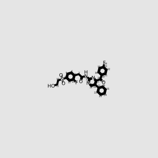 O=C(Cc1ccc(S(=O)(=O)CCO)cc1F)Nc1ncc(-c2ccccc2)c(C(=O)c2ccc(F)cc2)n1